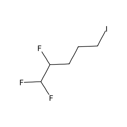 FC(F)C(F)CCCI